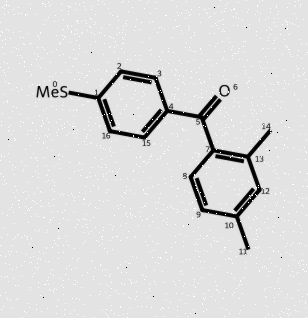 CSc1ccc(C(=O)c2ccc(C)cc2C)cc1